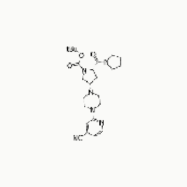 CC(C)(C)OC(=O)N1C[C@@H](N2CCN(c3cc(C#N)ccn3)CC2)C[C@H]1C(=O)N1CCCC1